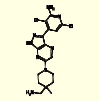 CC1(CN)CCN(c2cnc3c(-c4cc(Cl)nc(N)c4Cl)n[nH]c3n2)CC1